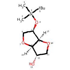 CC(C)(C)[Si](C)(C)O[C@@H]1CO[C@H]2[C@@H]1OC[C@@H]2O